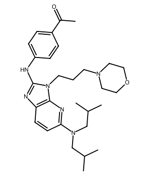 CC(=O)c1ccc(Nc2nc3ccc(N(CC(C)C)CC(C)C)nc3n2CCCN2CCOCC2)cc1